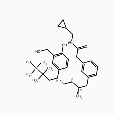 C[C@H](Cc1cccc(CC(=O)NCC2CC2)c1)NC[C@H](CC(C)(C)[Si](C)(C)O)c1ccc(O)c(CO)c1